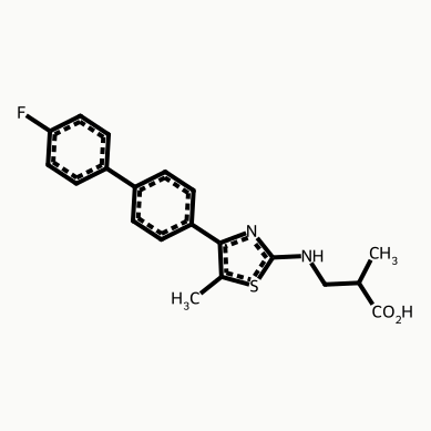 Cc1sc(NCC(C)C(=O)O)nc1-c1ccc(-c2ccc(F)cc2)cc1